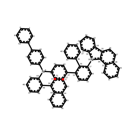 c1ccc(-c2ccc(N(c3ccc(-c4cccc(-n5c6ccccc6c6ccc7ccccc7c65)c4-c4ccccc4)cc3)c3ccccc3-c3cccc4ccccc34)cc2)cc1